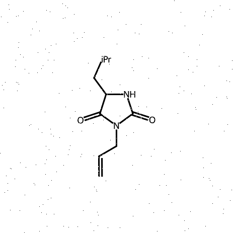 C=CCN1C(=O)NC(CC(C)C)C1=O